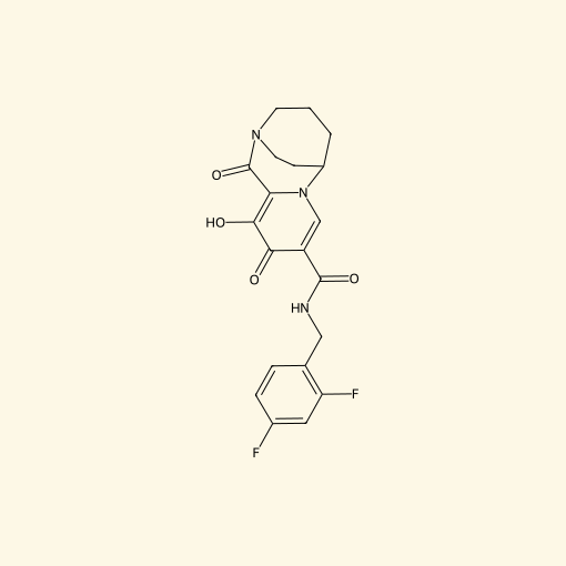 O=C(NCc1ccc(F)cc1F)c1cn2c(c(O)c1=O)C(=O)N1CCCC2CC1